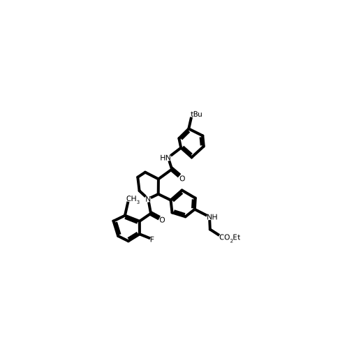 CCOC(=O)CNc1ccc(C2C(C(=O)Nc3cccc(C(C)(C)C)c3)CCCN2C(=O)c2c(C)cccc2F)cc1